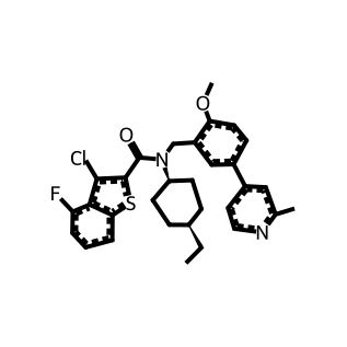 CC[C@H]1CC[C@@H](N(Cc2cc(-c3ccnc(C)c3)ccc2OC)C(=O)c2sc3cccc(F)c3c2Cl)CC1